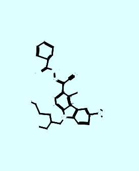 CCCCC(CC)Cn1c2ccc([N+](=O)[O-])cc2c2c(C)c(/C(C#N)=N/OC(=O)c3ccccc3)ccc21